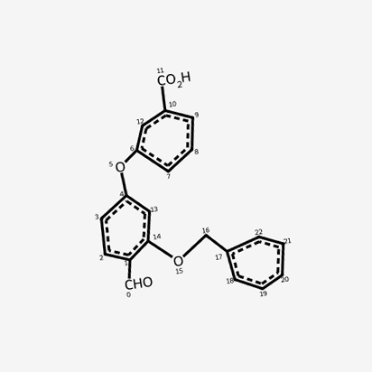 O=Cc1ccc(Oc2cccc(C(=O)O)c2)cc1OCc1ccccc1